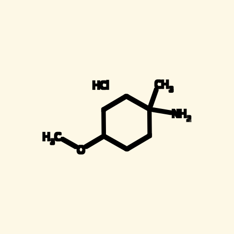 COC1CCC(C)(N)CC1.Cl